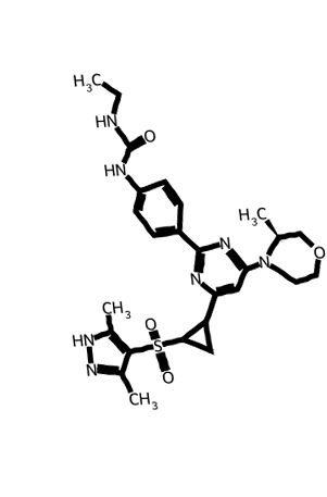 CCNC(=O)Nc1ccc(-c2nc(C3CC3S(=O)(=O)c3c(C)n[nH]c3C)cc(N3CCOC[C@@H]3C)n2)cc1